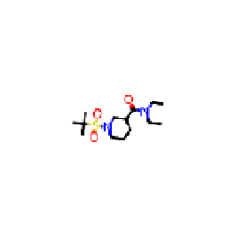 CCN(CC)C(=O)C1CCCN(S(=O)(=O)C(C)(C)C)C1